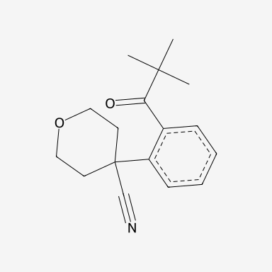 CC(C)(C)C(=O)c1ccccc1C1(C#N)CCOCC1